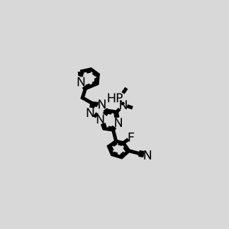 CPN(C)c1nc(-c2cccc(C#N)c2F)cn2nc(Cc3ccccn3)nc12